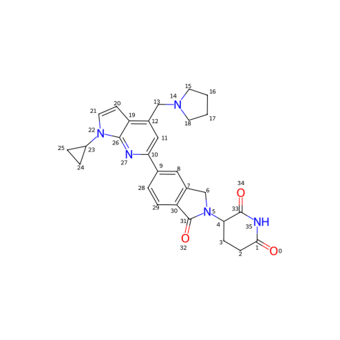 O=C1CCC(N2Cc3cc(-c4cc(CN5CCCC5)c5ccn(C6CC6)c5n4)ccc3C2=O)C(=O)N1